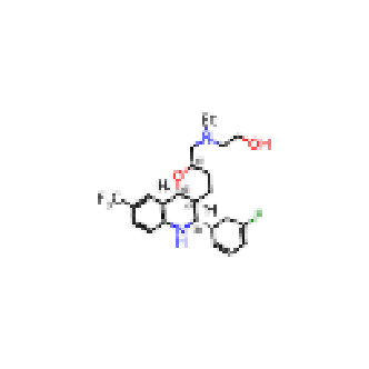 CCN(CCO)C[C@H]1CC[C@@H]2[C@H](O1)c1cc(C(F)(F)F)ccc1N[C@H]2C1C=CC=C(F)C1